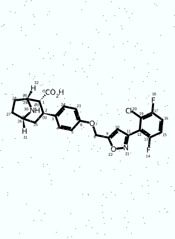 O=C(O)[C@@H]1[C@@H](c2ccc(OCc3cc(-c4c(F)ccc(F)c4Cl)no3)cc2)C[C@@H]2CC[C@H]1N2